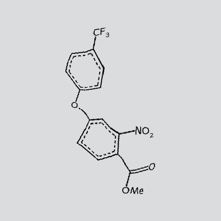 COC(=O)c1ccc(Oc2ccc(C(F)(F)F)cc2)cc1[N+](=O)[O-]